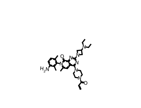 C=CC(=O)N1CCN(c2nc(N3CC(N(CC)CC)C3)nc3c(=O)n(-c4c(C)ccc(N)c4C)c(C)cc23)CC1